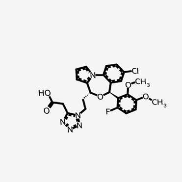 COc1ccc(F)c([C@H]2O[C@H](CCn3nnnc3CC(=O)O)c3cccn3-c3ccc(Cl)cc32)c1OC